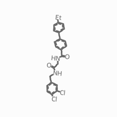 CCc1ccc(-c2ccc(C(=O)NCC(=O)NCc3ccc(Cl)c(Cl)c3)cc2)cc1